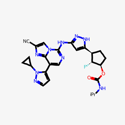 CC(C)NC(=O)O[C@@H]1CC[C@H](c2cc(Nc3ncc(-c4ccnn4C4CC4)c4nc(C#N)cn34)n[nH]2)[C@H]1F